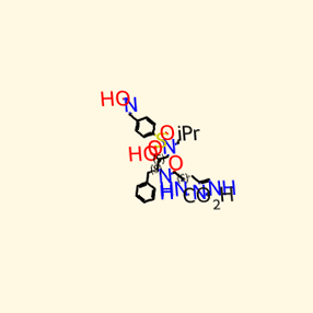 CC(C)CN(C[C@H](O)[C@H](Cc1ccccc1)NC(=O)[C@H](Cc1c[nH]cn1)NC(=O)O)S(=O)(=O)c1ccc(C=NO)cc1